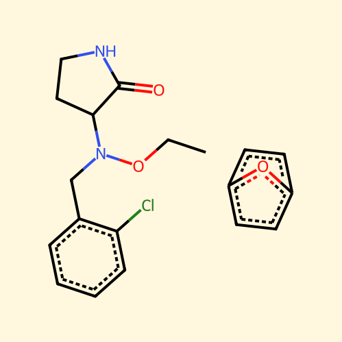 CCON(Cc1ccccc1Cl)C1CCNC1=O.c1cc2ccc1o2